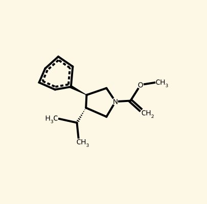 C=C(OC)N1C[C@H](c2ccccc2)[C@@H](C(C)C)C1